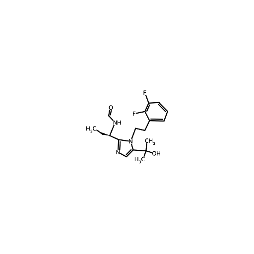 CC[C@@H](NC=O)c1ncc(C(C)(C)O)n1CCc1cccc(F)c1F